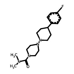 CN(C)C(=O)N1CCN(N2CCC(c3ccc(F)cc3)CC2)CC1